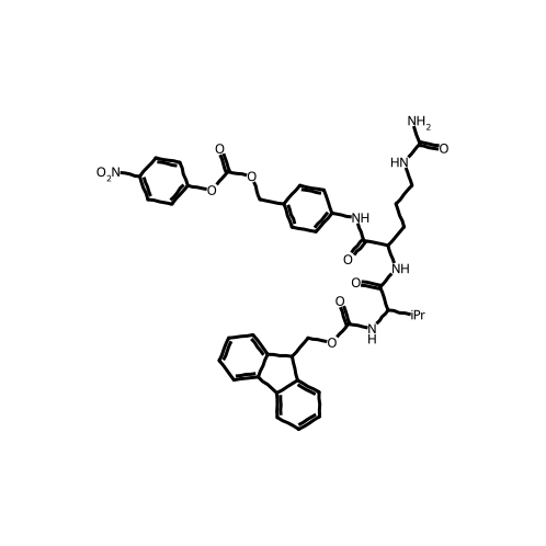 CC(C)C(NC(=O)OCC1c2ccccc2-c2ccccc21)C(=O)NC(CCCNC(N)=O)C(=O)Nc1ccc(COC(=O)Oc2ccc([N+](=O)[O-])cc2)cc1